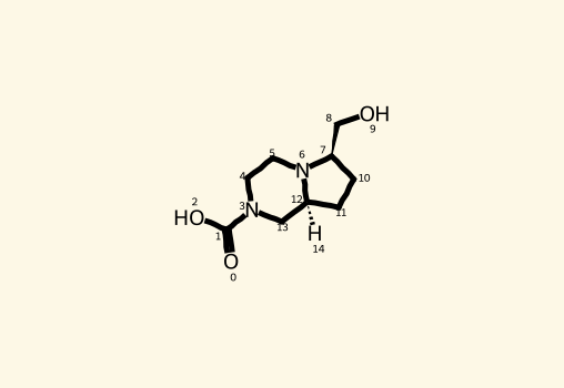 O=C(O)N1CCN2[C@@H](CO)CC[C@H]2C1